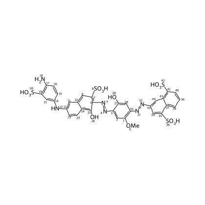 COc1cc(N=Nc2c(S(=O)(=O)O)cc3cc(Nc4ccc(N)c(S(=O)(=O)O)c4)ccc3c2O)c(O)cc1N=Nc1cc(S(=O)(=O)O)c2cccc(S(=O)(=O)O)c2c1